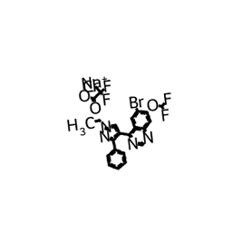 CCn1cc(-c2ncnc3cc(OC(F)F)c(Br)cc23)c(-c2ccccc2)n1.O=C([O-])C(F)(F)Cl.[Na+]